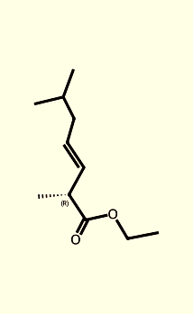 CCOC(=O)[C@H](C)C=CCC(C)C